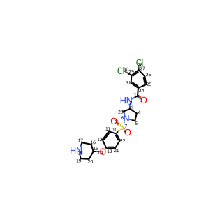 O=C(N[C@H]1CCN(S(=O)(=O)c2ccc(OC3CCNCC3)cc2)C1)c1ccc(Cl)c(Cl)c1